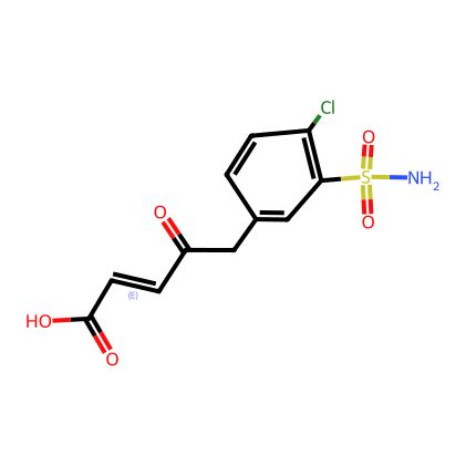 NS(=O)(=O)c1cc(CC(=O)/C=C/C(=O)O)ccc1Cl